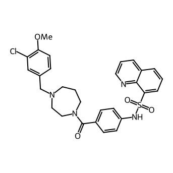 COc1ccc(CN2CCCN(C(=O)c3ccc(NS(=O)(=O)c4cccc5cccnc45)cc3)CC2)cc1Cl